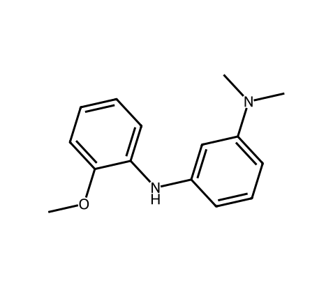 COc1ccccc1Nc1cccc(N(C)C)c1